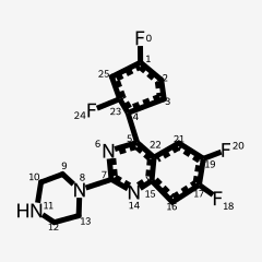 Fc1ccc(-c2nc(N3CCNCC3)nc3cc(F)c(F)cc23)c(F)c1